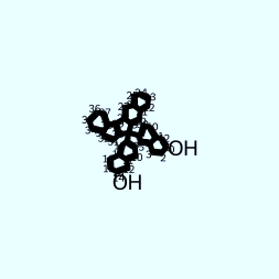 Oc1ccc2cc(C3(c4ccc5cc(O)ccc5c4)c4cc5ccccc5cc4-c4c3ccc3ccccc43)ccc2c1